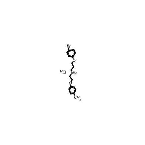 Cc1ccc(OCCNCCCOc2ccc(Br)cc2)cc1.Cl